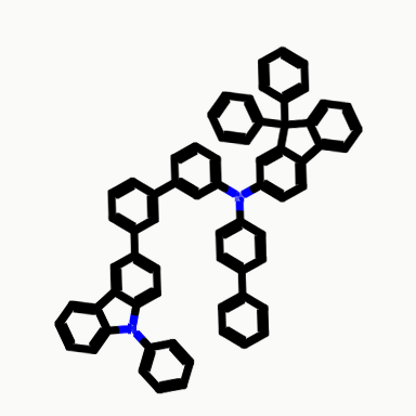 c1ccc(-c2ccc(N(c3cccc(-c4cccc(-c5ccc6c(c5)c5ccccc5n6-c5ccccc5)c4)c3)c3ccc4c(c3)C(c3ccccc3)(c3ccccc3)c3ccccc3-4)cc2)cc1